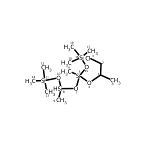 CC(CCl)O[Si](C)(O[SiH](C)O[Si](C)(C)C)O[Si](C)(C)C